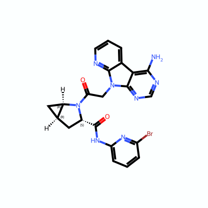 Nc1ncnc2c1c1cccnc1n2CC(=O)N1[C@@H]2C[C@@H]2C[C@H]1C(=O)Nc1cccc(Br)n1